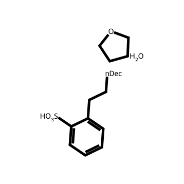 C1CCOC1.CCCCCCCCCCCCc1ccccc1S(=O)(=O)O.O